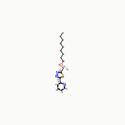 CCCCCCCCCO[C@H](C)c1nnc(-c2ccccn2)s1